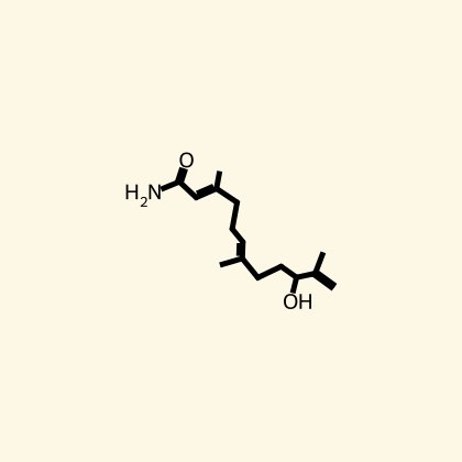 C=C(C)C(O)CCC(C)=CCCC(C)=CC(N)=O